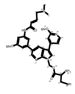 COc1cc(NC(=O)C=CCN(C)C)cc(-c2cnc3c(c2)c(-c2ccnc(OC)c2)cn3COC(=O)C(N)CC(C)C)c1